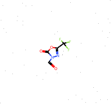 O=Cn1nc(C(F)(F)F)oc1=O